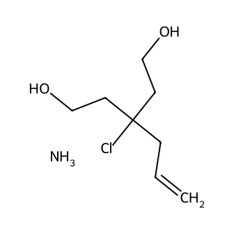 C=CCC(Cl)(CCO)CCO.N